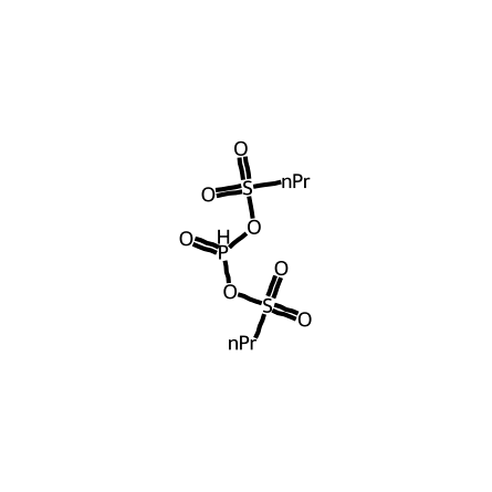 CCCS(=O)(=O)O[PH](=O)OS(=O)(=O)CCC